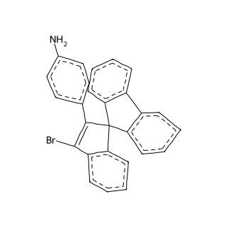 Nc1ccc(C2=C(Br)c3ccccc3C23c2ccccc2-c2ccccc23)cc1